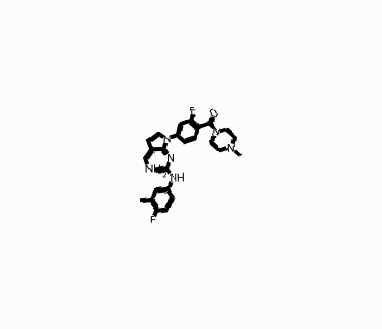 C=C(/N=C1\C(=C/N)C=CN1c1ccc(C(=O)N2CCN(C)CC2)c(F)c1)Nc1ccc(F)c(C)c1